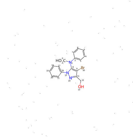 O=C(O)N(c1ccccc1)c1c(Br)c(CO)nn1-c1ccccc1